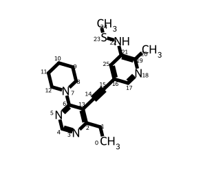 CCc1ncnc(N2CCCCC2)c1C#Cc1cnc(C)c(NSC)c1